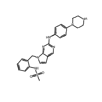 CS(=O)(=O)Nc1ccccc1Cn1ccc2cnc(Nc3ccc(N4CCNCC4)cc3)nc21